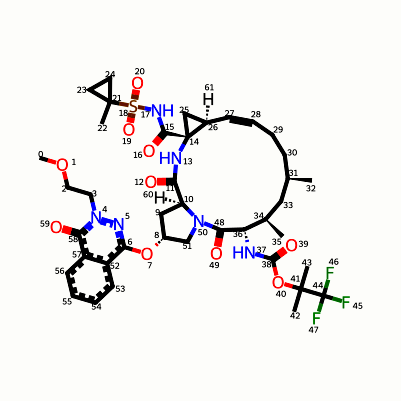 COCCn1nc(O[C@@H]2C[C@H]3C(=O)N[C@]4(C(=O)NS(=O)(=O)C5(C)CC5)C[C@H]4/C=C\CC[C@@H](C)C[C@@H](C)[C@H](NC(=O)OC(C)(C)C(F)(F)F)C(=O)N3C2)c2ccccc2c1=O